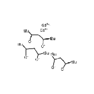 CC(C)(C)C([O-])CC([O-])C(C)(C)C.CC(C)(C)C([O-])CC([O-])C(C)(C)C.CC(C)(C)C([O-])CC([O-])C(C)(C)C.[Gd+3].[Gd+3]